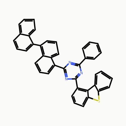 c1ccc(-c2nc(-c3cccc4c(-c5cccc6ccccc56)cccc34)nc(-c3cccc4sc5ccccc5c34)n2)cc1